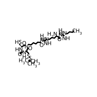 CCCCNC(=N)NC(=O)C(N)CCCNC(=N)NC(=O)CCCCCN1C(=O)C(CSSC(C)(C)C)NC(=O)N[C@@H](CS)C1=O